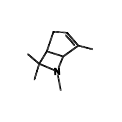 CC1=CCC2C1N(C)C2(C)C